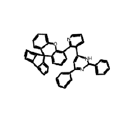 C1=C(c2cccnc2-c2cccc3c2Oc2ccccc2C32c3ccccc3-c3ccccc32)NC(c2ccccc2)N=C1c1ccccc1